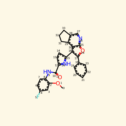 COc1cc(F)ccc1NC(=O)c1ccc(-c2c(-c3ccccc3)oc3ncc4c(c23)CCC4)[nH]1